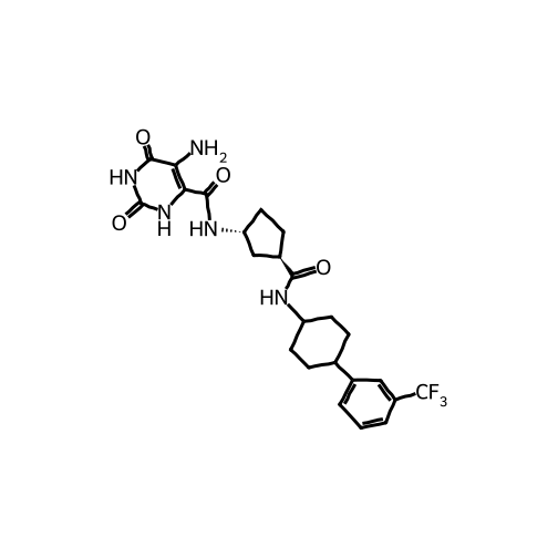 Nc1c(C(=O)N[C@@H]2CC[C@@H](C(=O)NC3CCC(c4cccc(C(F)(F)F)c4)CC3)C2)[nH]c(=O)[nH]c1=O